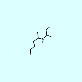 CCCC[C](C)NC(C)CC